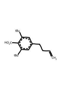 C=CCCc1cc(C(C)(C)C)c(C(=O)O)c(C(C)(C)C)c1